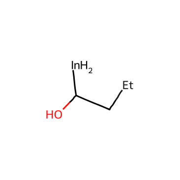 CCC[CH](O)[InH2]